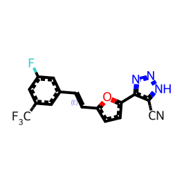 N#Cc1[nH]nnc1-c1ccc(/C=C/c2cc(F)cc(C(F)(F)F)c2)o1